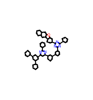 c1ccc(-c2cc(-c3ccccc3)cc(-c3cc(-c4cccc(-c5cccc(-c6nc(-c7ccccc7)nc(-c7ccc8c(c7)oc7cc9ccccc9cc78)n6)c5)c4)nc(-c4ccccc4)n3)c2)cc1